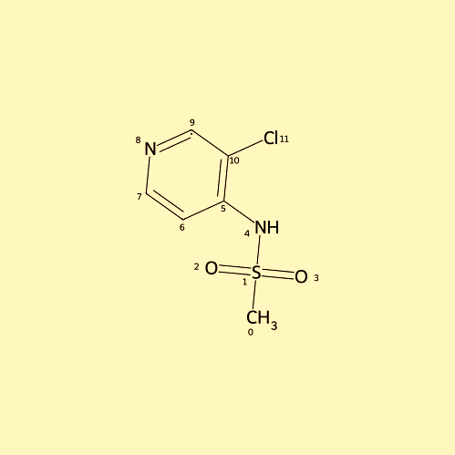 CS(=O)(=O)Nc1ccn[c]c1Cl